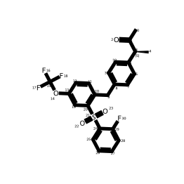 CC(=O)[C@@H](C)c1ccc(Cc2ccc(OC(F)(F)F)cc2S(=O)(=O)c2ccccc2F)cc1